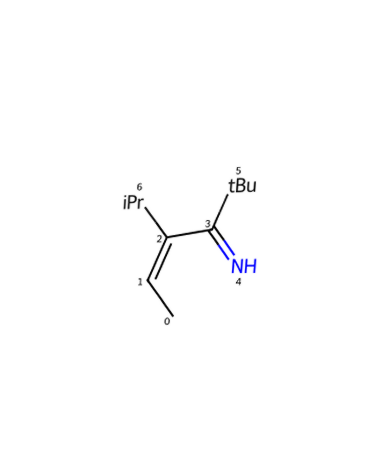 C/C=C(\C(=N)C(C)(C)C)C(C)C